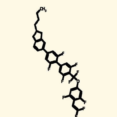 CCCCC1Cc2ccc(-c3cc(F)c(-c4cc(F)c(C(F)(F)Oc5cc(F)c(C=C(F)F)c(F)c5)c(F)c4)c(F)c3)cc2C1